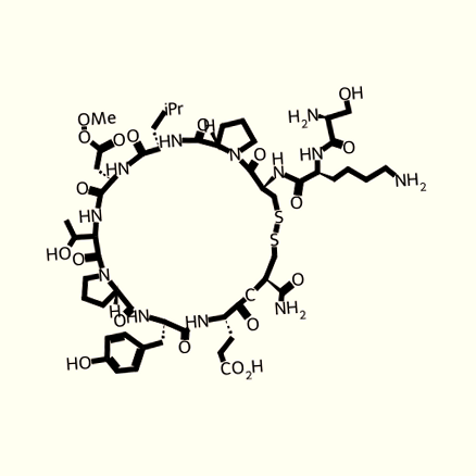 COOC(=O)C[C@@H]1NC(=O)[C@H](CC(C)C)NC(=O)[C@@H]2CCCN2C(=O)[C@@H](NC(=O)[C@H](CCCCN)NC(=O)[C@@H](N)CO)CSSC[C@@H](C(N)=O)CC(=O)[C@H](CCC(=O)O)NC(=O)[C@H](Cc2ccc(O)cc2)NC(=O)[C@@H]2CCCN2C(=O)C(C(C)O)NC1=O